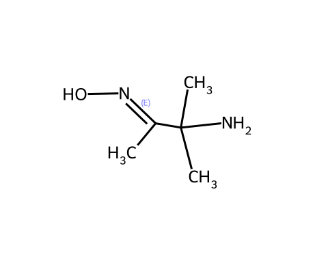 C/C(=N\O)C(C)(C)N